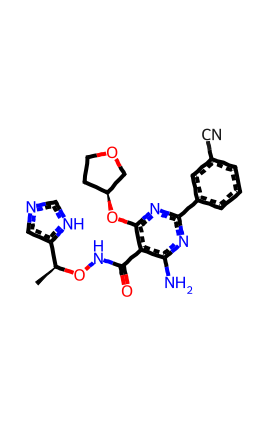 C[C@H](ONC(=O)c1c(N)nc(-c2cccc(C#N)c2)nc1O[C@H]1CCOC1)c1cnc[nH]1